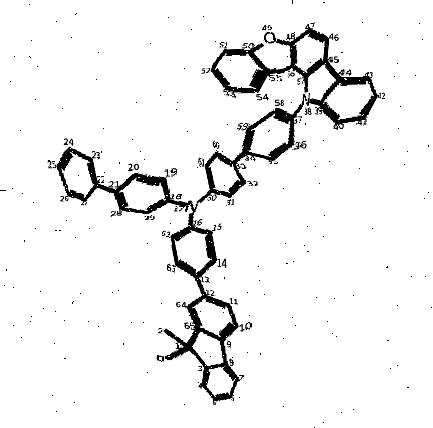 CC1(C)c2ccccc2-c2ccc(-c3ccc(N(c4ccc(-c5ccccc5)cc4)c4ccc(-c5ccc(-n6c7ccccc7c7ccc8oc9ccccc9c8c76)cc5)cc4)cc3)cc21